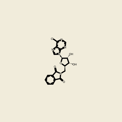 O=C1c2ccccc2C(=O)N1C[C@H]1O[C@@H](n2cnc3c(Cl)ncnc32)[C@H](O)[C@@H]1O